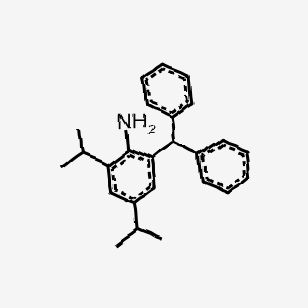 CC(C)c1cc(C(C)C)c(N)c(C(c2ccccc2)c2ccccc2)c1